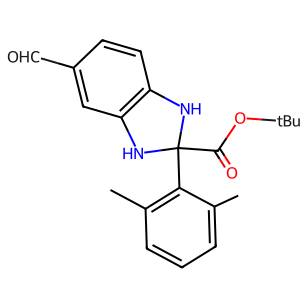 Cc1cccc(C)c1C1(C(=O)OC(C)(C)C)Nc2ccc(C=O)cc2N1